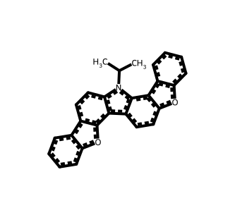 CC(C)n1c2ccc3c4ccccc4oc3c2c2ccc3oc4ccccc4c3c21